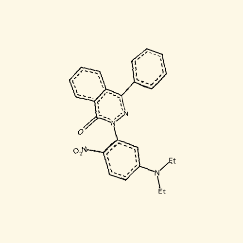 CCN(CC)c1ccc([N+](=O)[O-])c(-n2nc(-c3ccccc3)c3ccccc3c2=O)c1